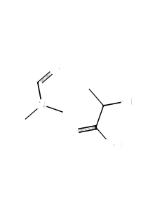 CC(O)C(=O)O.CN(C)C=O